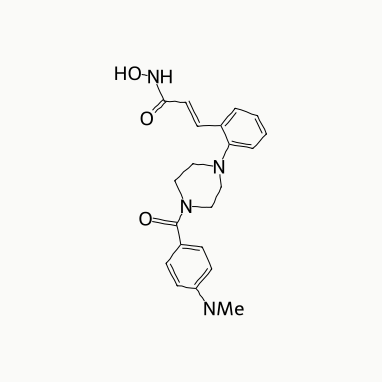 CNc1ccc(C(=O)N2CCN(c3ccccc3C=CC(=O)NO)CC2)cc1